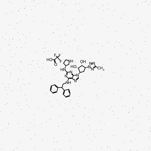 Cc1nnn([C@H]2C[C@@H](n3cnc4c(NCC(c5ccccc5)c5ccccc5)nc(N[C@H]5CCNC5)nc43)[C@H](O)[C@@H]2O)n1.O=C(O)C(F)(F)F